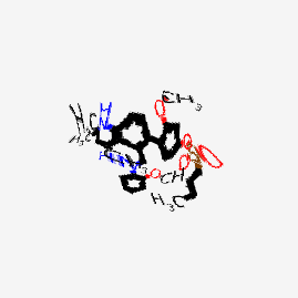 CCCCS(=O)(=O)Oc1ccc(-c2ccc3c(c2CNc2ccccc2OC)C(C)=CC(C)(C)N3)c(OC)c1